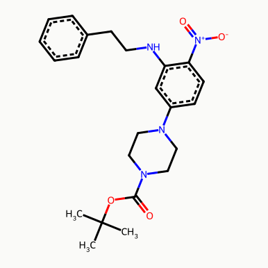 CC(C)(C)OC(=O)N1CCN(c2ccc([N+](=O)[O-])c(NCCc3ccccc3)c2)CC1